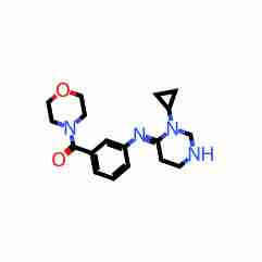 O=C(c1cccc(N=C2CCNCN2C2CC2)c1)N1CCOCC1